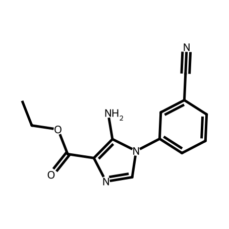 CCOC(=O)c1ncn(-c2cccc(C#N)c2)c1N